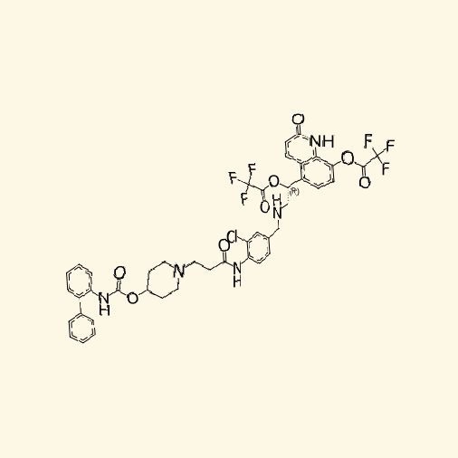 O=C(CCN1CCC(OC(=O)Nc2ccccc2-c2ccccc2)CC1)Nc1ccc(CNC[C@H](OC(=O)C(F)(F)F)c2ccc(OC(=O)C(F)(F)F)c3[nH]c(=O)ccc23)cc1Cl